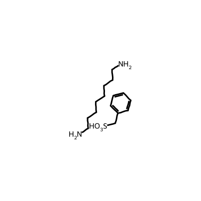 NCCCCCCCCN.O=S(=O)(O)Cc1ccccc1